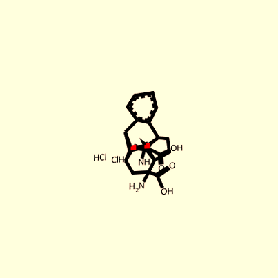 Cl.Cl.NC1(C(=O)O)CC2c3ccccc3C13CCC14c5ccccc5C(CC1(N)C(=O)O)C2C34